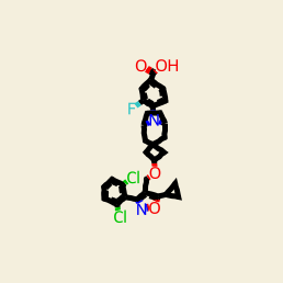 O=C(O)c1ccc(N2C3CCC2CC2(CC(OCc4c(-c5c(Cl)cccc5Cl)noc4C4CC4)C2)C3)c(F)c1